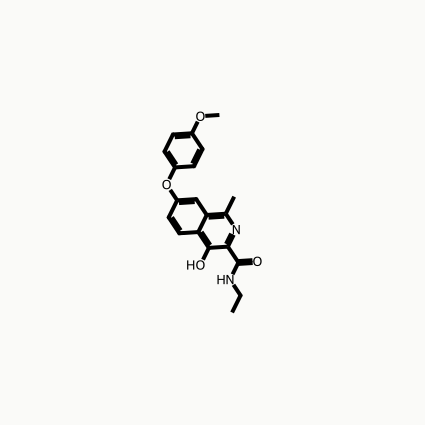 CCNC(=O)c1nc(C)c2cc(Oc3ccc(OC)cc3)ccc2c1O